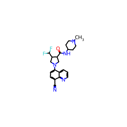 CN1CCC(NC(=O)C2CN(c3ccc(C#N)c4ncccc34)CC2C(F)F)CC1